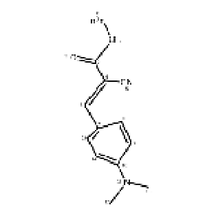 CCCOC(=O)/C(C#N)=C/c1ccc(N(C)C)cc1